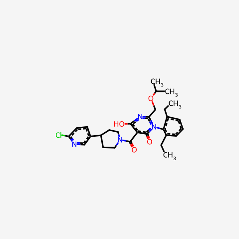 CCc1cccc(CC)c1-n1c(COC(C)C)nc(O)c(C(=O)N2CCC(c3ccc(Cl)nc3)CC2)c1=O